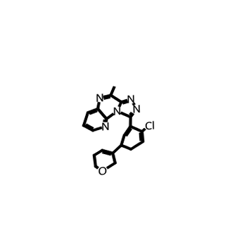 Cc1nc2cccnc2n2c(C3=CC(C4=CCCOC4)CC=C3Cl)nnc12